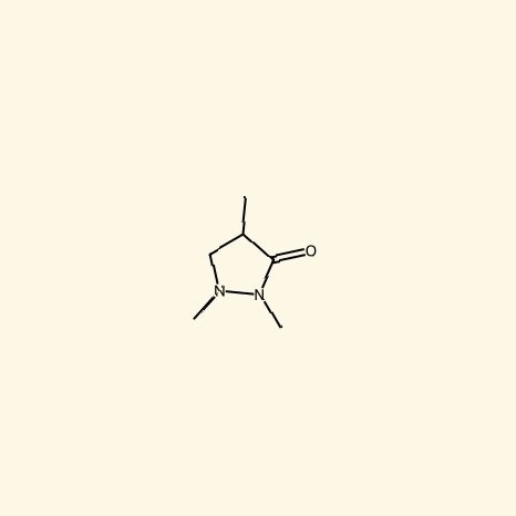 CC1CN(C)N(C)C1=O